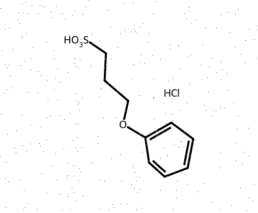 Cl.O=S(=O)(O)CCCOc1ccccc1